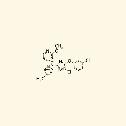 COc1cc(N2CC3C(C)=C2C3Nc2nc(Oc3cccc(Cl)c3)n(C)n2)ccn1